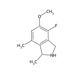 COc1cc(C)c2c(c1F)CNC2C